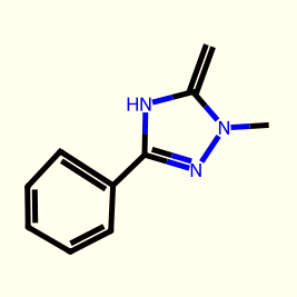 C=C1NC(c2ccccc2)=NN1C